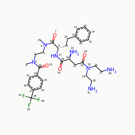 CN(CCN(C)C(=O)[C@H](CCc1ccccc1)NC(=O)[C@@H](N)CC(=O)N(CCN)CCN)C(=O)c1ccc(C(F)(F)F)cc1